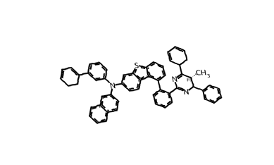 C[C@H]1C(C2C=CC=CC2)=NC(c2ccccc2-c2cccc3sc4cc(N(c5cccc(C6=CC=CCC6)c5)c5ccc6ccccc6c5)ccc4c23)=NC1c1ccccc1